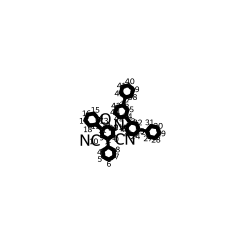 N#Cc1c(-c2ccccc2)c(C#N)c2c(oc3ccccc32)c1-n1c2ccc(-c3ccccc3)cc2c2cc(-c3ccccc3)ccc21